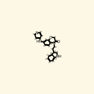 O=C1COc2cc(Nc3ccncc3)ccc2N1CCC1CNc2ccccc21